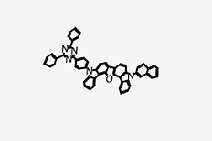 c1ccc(-c2nc(-c3ccccc3)nc(-c3ccc(-n4c5ccccc5c5c6oc7c(ccc8c7c7ccccc7n8-c7ccc8ccccc8c7)c6ccc54)cc3)n2)cc1